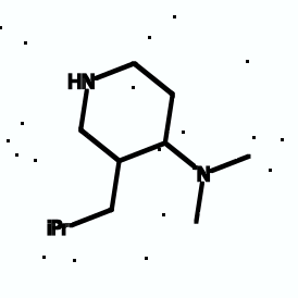 CC(C)CC1CNCCC1N(C)C